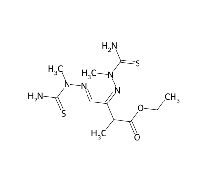 CCOC(=O)C(C)C(C=NN(C)C(N)=S)=NN(C)C(N)=S